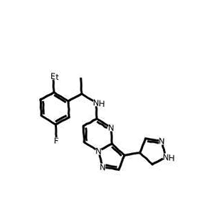 CCc1ccc(F)cc1C(C)Nc1ccn2ncc(C3C=NNC3)c2n1